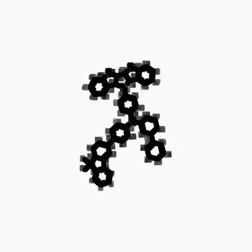 CC1(C)c2ccccc2C2=CC(c3ccc(N(C4=CC(C5=CCCC=C5)CC=C4)c4ccc(N5C6c7ccccc7SC6C6Sc7ccccc7C65)cc4)cc3)=CCC21